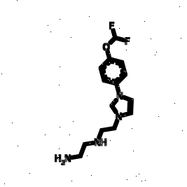 NCCNCCN1C=CN(c2ccc(OC(F)F)cc2)C1